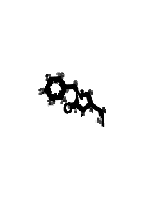 O=C1CC(CI)CN1Cc1ccccc1